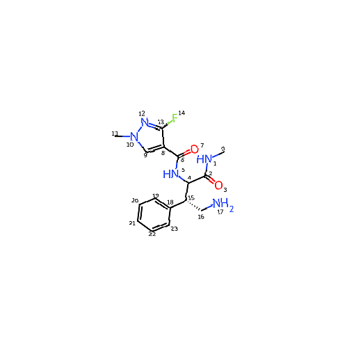 CNC(=O)C(NC(=O)c1cn(C)nc1F)[C@H](CN)c1ccccc1